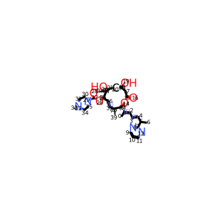 C/C(=C\C=C\C(C)c1ncccn1)[C@H]1OC(=O)C[C@H](O)CC[C@@](C)(O)[C@@H](OC(=O)N2CCN(C)CC2)/C=C/[C@@H]1C